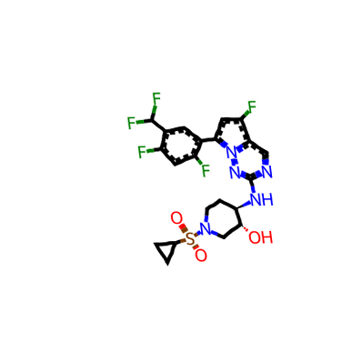 O=S(=O)(C1CC1)N1CC[C@@H](Nc2ncc3c(F)cc(-c4cc(C(F)F)c(F)cc4F)n3n2)[C@H](O)C1